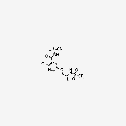 C[C@@H](COc1cnc(Cl)c(C(=O)NC(C)(C)C#N)c1)NS(=O)(=O)C(F)(F)F